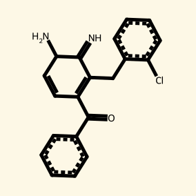 N=C1C(Cc2ccccc2Cl)=C(C(=O)c2ccccc2)C=CC1N